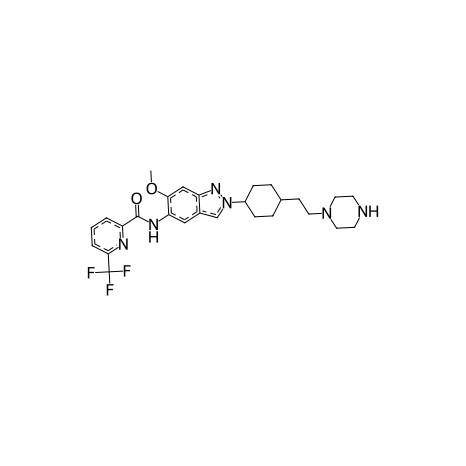 COc1cc2nn(C3CCC(CCN4CCNCC4)CC3)cc2cc1NC(=O)c1cccc(C(F)(F)F)n1